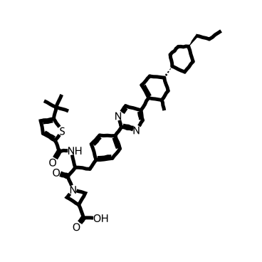 CCC[C@H]1CC[C@H](C2CC=C(c3cnc(-c4ccc(CC(NC(=O)c5ccc(C(C)(C)C)s5)C(=O)N5CC(C(=O)O)C5)cc4)nc3)C(C)C2)CC1